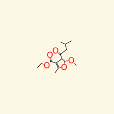 CCOC(=O)C1=C(C)OC(OC)C1C(=O)CC(C)C